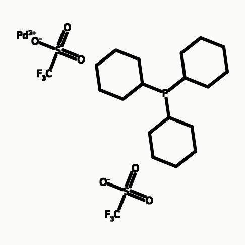 C1CCC(P(C2CCCCC2)C2CCCCC2)CC1.O=S(=O)([O-])C(F)(F)F.O=S(=O)([O-])C(F)(F)F.[Pd+2]